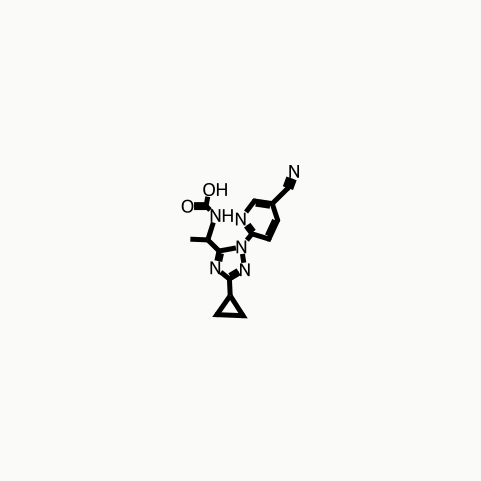 CC(NC(=O)O)c1nc(C2CC2)nn1-c1ccc(C#N)cn1